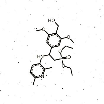 CCOP(=O)(CC(Nc1ccc(C)nc1C)c1cc(OC)c(CO)c(OC)c1)OCC